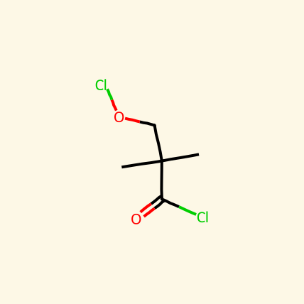 CC(C)(COCl)C(=O)Cl